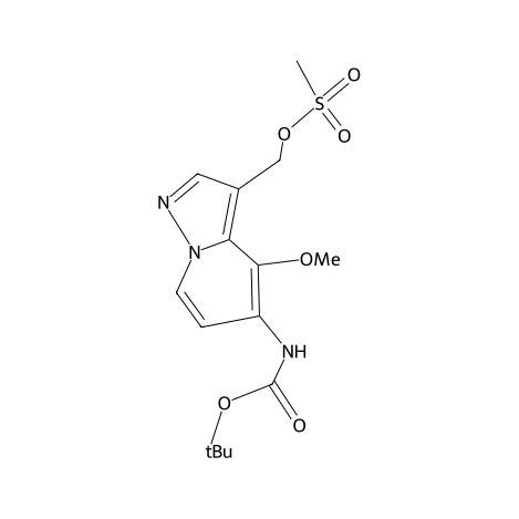 COc1c(NC(=O)OC(C)(C)C)ccn2ncc(COS(C)(=O)=O)c12